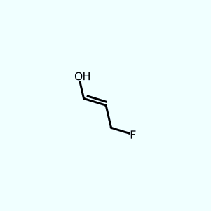 OC=CCF